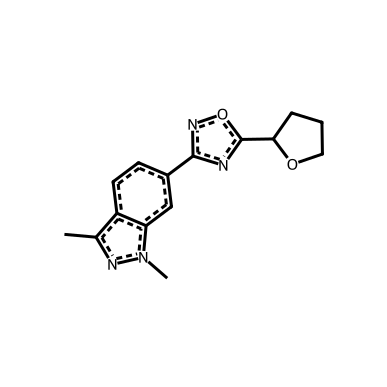 Cc1nn(C)c2cc(-c3noc(C4CCCO4)n3)ccc12